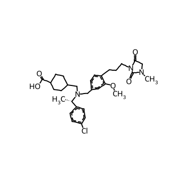 COc1cc(CN(CC2CCC(C(=O)O)CC2)[C@@H](C)c2ccc(Cl)cc2)ccc1CCCN1C(=O)CN(C)C1=O